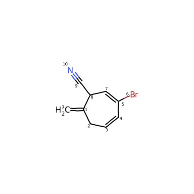 C=C1CC=CC(Br)=CC1C#N